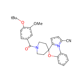 COc1cc(C(=O)N2CCC3(CC2)Oc2ccccc2-n2c(C#N)ccc23)ccc1OC(C)(C)C